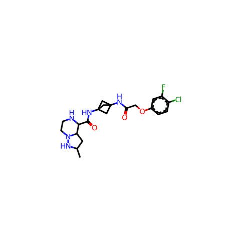 CC1CC2C(C(=O)NC34CC(NC(=O)COc5ccc(Cl)c(F)c5)(C3)C4)NCCN2N1